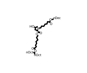 CCCCCCCCCCCOC(=O)CCCCCCN1CC(O)C[C@H]1C(=O)OCCCCCCCC(=O)OC(CCCCCCCC)CCCCCCCC